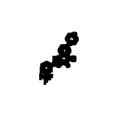 Cn1c(=O)c2cc(N3CCOCC3)ccc2n2nc(-c3ccnc(C(F)(F)F)c3)cc12